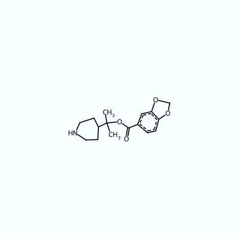 CC(C)(OC(=O)c1ccc2c(c1)OCO2)C1CCNCC1